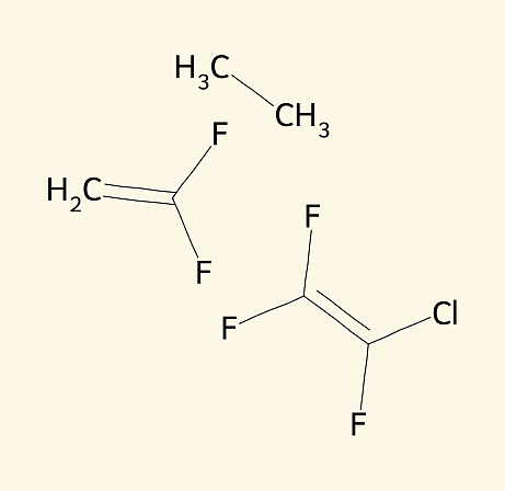 C=C(F)F.CC.FC(F)=C(F)Cl